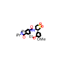 CCOc1cc([C@H]2CS(=O)(=O)CC[C@H]2NC(=O)c2ccc(C(=O)N(C(C)C)C(C)C)cc2)ccc1OC